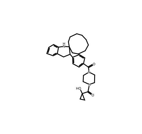 O=C(c1ccc(C2Cc3ccccc3NC23CCCCCCCCC3)cc1)N1CCN(C(=O)C2(O)CC2)CC1